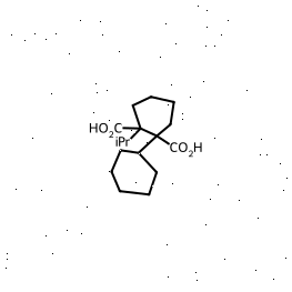 CC(C)C1(C(=O)O)CCCCC1(C(=O)O)C1CCCCC1